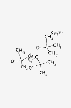 CC(C)(C)[O-].CC(C)(C)[O-].CC(C)(C)[O-].[Sm+3]